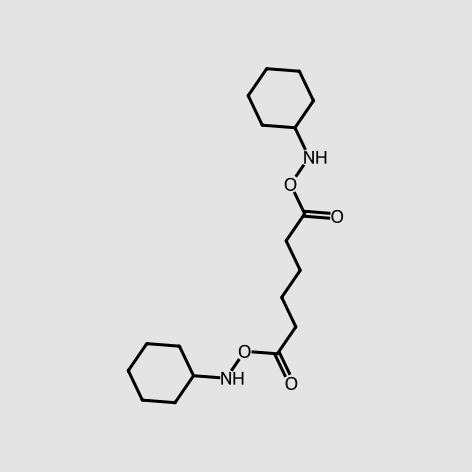 O=C(CCCCC(=O)ONC1CCCCC1)ONC1CCCCC1